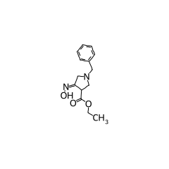 CCOC(=O)C1CN(Cc2ccccc2)C/C1=N/O